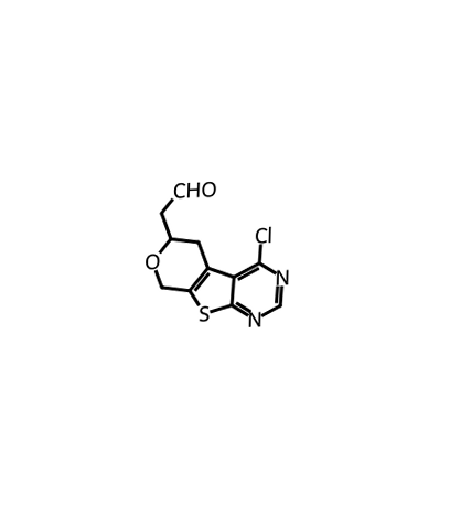 O=CCC1Cc2c(sc3ncnc(Cl)c23)CO1